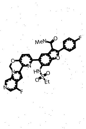 CCS(=O)(=O)Nc1cc2oc(-c3ccc(F)cc3)c(C(=O)NC)c2cc1-c1ccc2c(n1)-c1cc3c(F)cncc3n1CO2